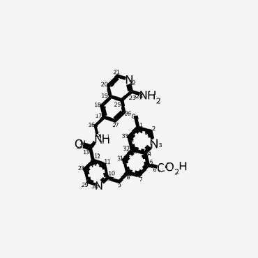 Cc1cnc2c(C(=O)O)cc(Cc3cc(C(=O)NCC4=CC5C=CN=C(N)C5C=C4)ccn3)cc2c1